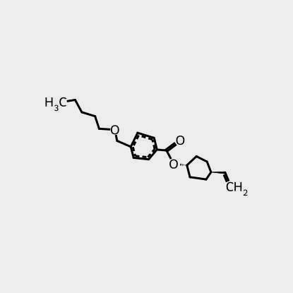 C=C[C@H]1CC[C@H](OC(=O)c2ccc(COCCCCC)cc2)CC1